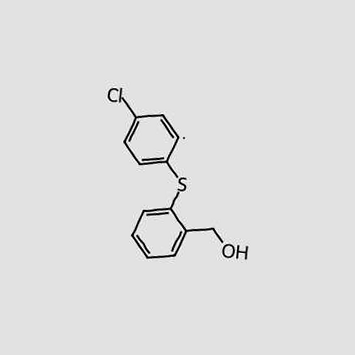 OCc1ccccc1Sc1[c]cc(Cl)cc1